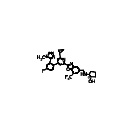 Cn1cnnc1-c1cc(F)ccc1-c1cc(-c2nc3cc(CNC4CCC[C@H]4O)cc(C(F)(F)F)c3o2)nc(C2CC2)c1